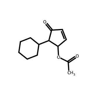 CC(=O)OC1C=CC(=O)C1C1CCCCC1